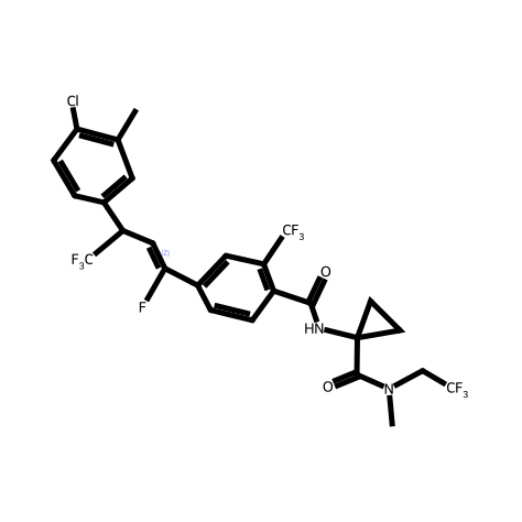 Cc1cc(C(/C=C(\F)c2ccc(C(=O)NC3(C(=O)N(C)CC(F)(F)F)CC3)c(C(F)(F)F)c2)C(F)(F)F)ccc1Cl